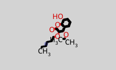 CC/C=C/CCOc1c(OC(C)C)c2cccc(O)c2oc1=O